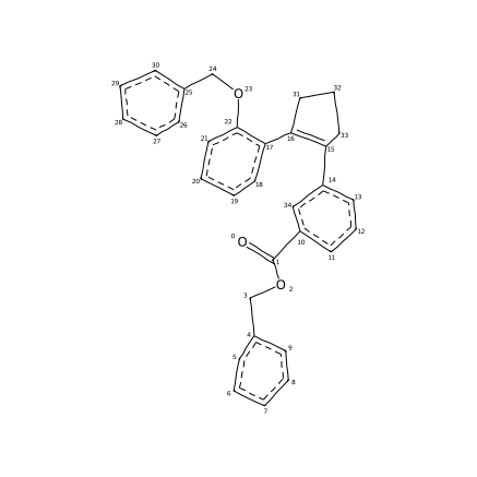 O=C(OCc1ccccc1)c1cccc(C2=C(c3ccccc3OCc3ccccc3)CCC2)c1